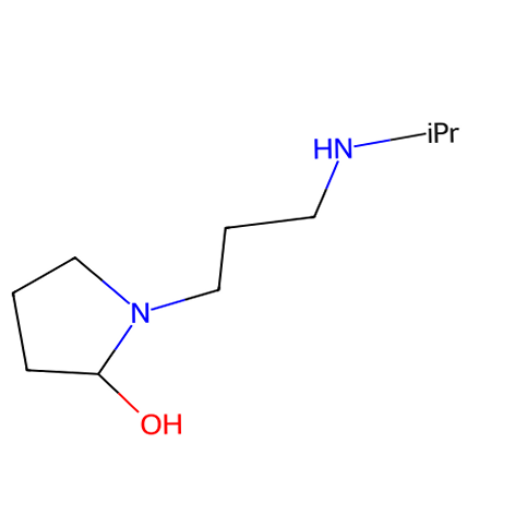 CC(C)NCCCN1CCCC1O